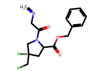 C=NCC(=O)N1C[C@@](F)(CF)CC1C(=O)OCc1ccccc1